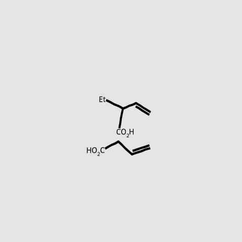 C=CC(CC)C(=O)O.C=CCC(=O)O